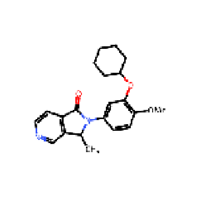 COc1ccc(N2C(=O)c3ccncc3C2C)cc1OC1CCCCC1